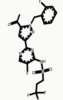 CC(=O)c1cc(-c2ncc(F)c(NS(=O)(=O)CCC(F)(F)F)n2)nn1Cc1ccccc1F